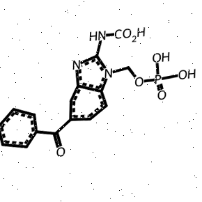 O=C(O)Nc1nc2cc(C(=O)c3ccccc3)ccc2n1COP(=O)(O)O